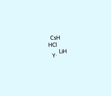 Cl.[CsH].[LiH].[Y]